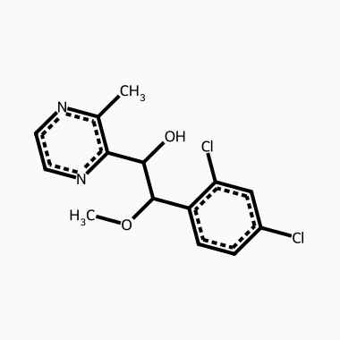 COC(c1ccc(Cl)cc1Cl)C(O)c1nccnc1C